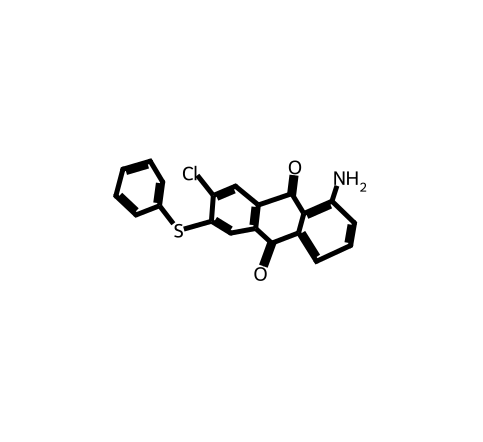 Nc1cccc2c1C(=O)c1cc(Cl)c(Sc3ccccc3)cc1C2=O